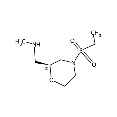 CCS(=O)(=O)N1CCO[C@@H](CNC)C1